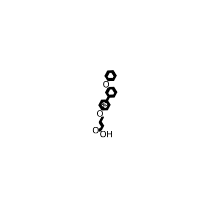 O=C(O)C=CCOC12CCC(c3cccc(Oc4ccccc4)c3)(CC1)OC2